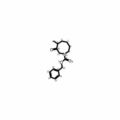 CC1CCCCN(C(=O)OCc2ccccc2)CC1=O